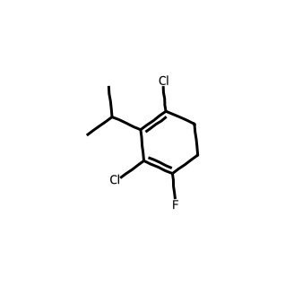 CC(C)C1=C(Cl)CCC(F)=C1Cl